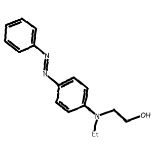 CCN(CCO)c1ccc(N=Nc2ccccc2)cc1